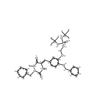 COC(=O)C(=Cc1ccc(OCc2ccccc2)c(OCOP(=O)(OC(C)(C)C)OC(C)(C)C)c1)NC(=O)OCc1ccccc1